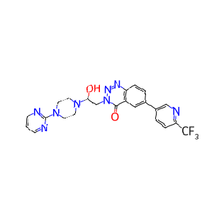 O=c1c2cc(-c3ccc(C(F)(F)F)nc3)ccc2nnn1CC(O)N1CCN(c2ncccn2)CC1